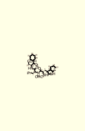 CC(C)C[C@H](NC(=O)[C@H](Cc1c[nH]c2ccccc12)NC=O)C(=O)N[C@@H](CC(=O)O)C(=O)c1cc[c]cc1